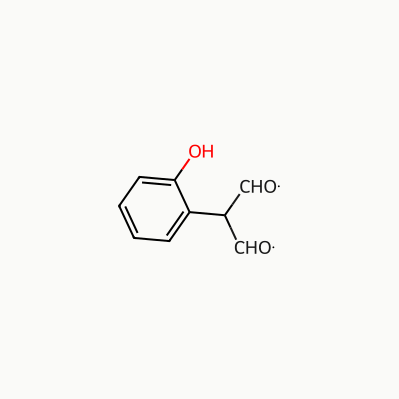 O=[C]C([C]=O)c1ccccc1O